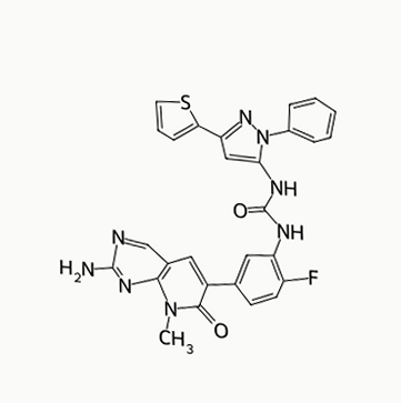 Cn1c(=O)c(-c2ccc(F)c(NC(=O)Nc3cc(-c4cccs4)nn3-c3ccccc3)c2)cc2cnc(N)nc21